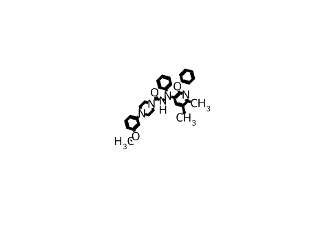 CCc1cc(N(NC(=O)N2CCN(c3cccc(OC)c3)CC2)c2ccccc2)c(Oc2ccccc2)nc1C